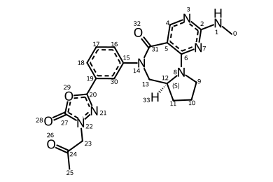 CNc1ncc2c(n1)N1CCC[C@H]1CN(c1cccc(-c3nn(CC(C)=O)c(=O)o3)c1)C2=O